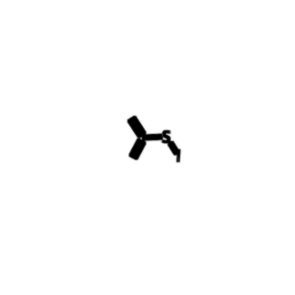 C=I(=C)SI